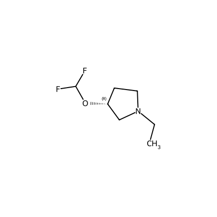 CCN1CC[C@@H](OC(F)F)C1